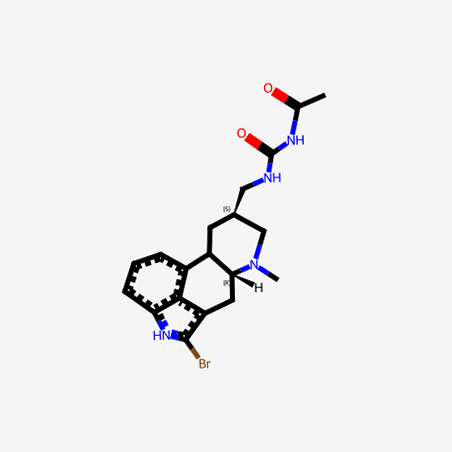 CC(=O)NC(=O)NC[C@@H]1CC2c3cccc4[nH]c(Br)c(c34)C[C@H]2N(C)C1